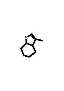 CC1=CSC2CCCCC12